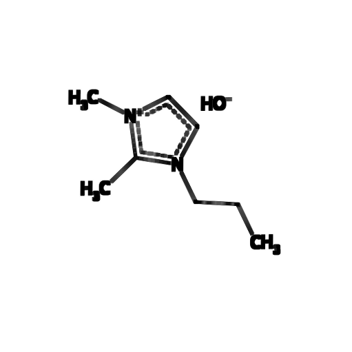 CCCn1cc[n+](C)c1C.[OH-]